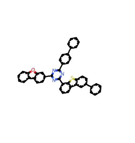 c1ccc(-c2ccc(-c3nc(-c4ccc5c(c4)oc4ccccc45)nc(-c4cccc5c4sc4ccc(-c6ccccc6)cc45)n3)cc2)cc1